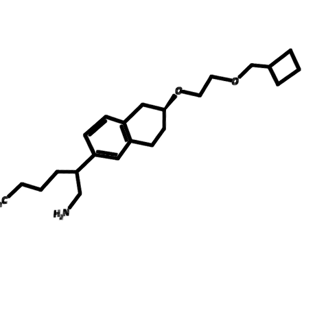 CCCCC(CN)c1ccc2c(c1)CC[C@H](OCCOCC1CCC1)C2